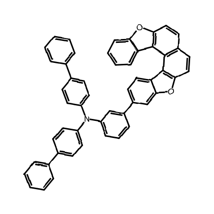 c1ccc(-c2ccc(N(c3ccc(-c4ccccc4)cc3)c3cccc(-c4ccc5c(c4)oc4ccc6ccc7oc8ccccc8c7c6c45)c3)cc2)cc1